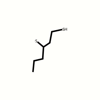 CCCC([S])CCS